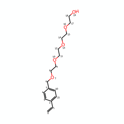 C=Cc1ccc(COCCOCCOCCOCCO)cc1